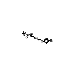 CC(C)(C)OC(=O)NCCCOCCOc1ccc(Br)cn1